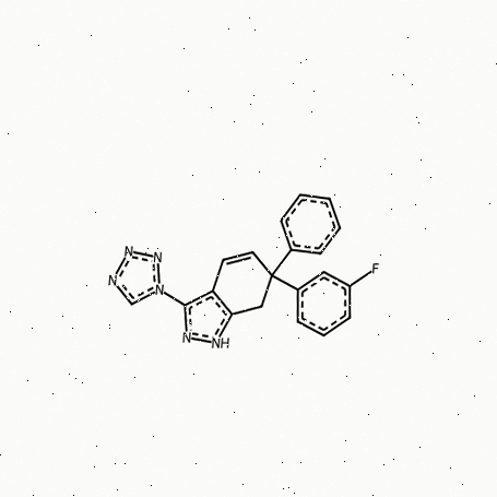 Fc1cccc(C2(c3ccccc3)C=Cc3c(-n4cnnn4)n[nH]c3C2)c1